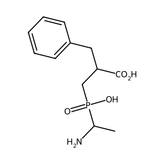 CC(N)P(=O)(O)CC(Cc1ccccc1)C(=O)O